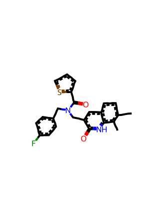 Cc1ccc2cc(CN(Cc3ccc(F)cc3)C(=O)c3cccs3)c(=O)[nH]c2c1C